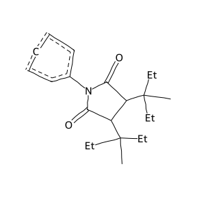 CCC(C)(CC)C1C(=O)N(c2ccccc2)C(=O)C1C(C)(CC)CC